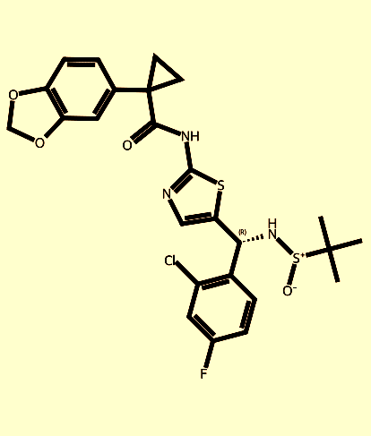 CC(C)(C)[S+]([O-])N[C@@H](c1cnc(NC(=O)C2(c3ccc4c(c3)OCO4)CC2)s1)c1ccc(F)cc1Cl